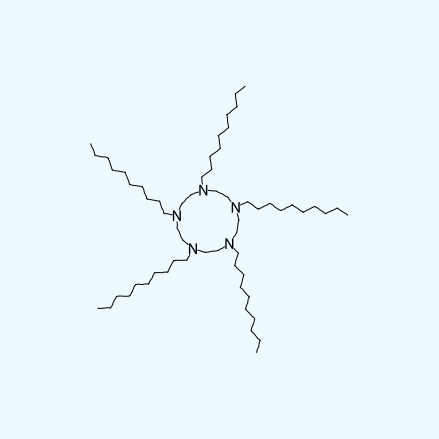 CCCCCCCCCCN1CCN(CCCCCCCCCC)CCN(CCCCCCCCCC)CCN(CCCCCCCCCC)CCN(CCCCCCCCCC)CC1